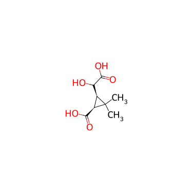 CC1(C)[C@H](C(O)C(=O)O)[C@@H]1C(=O)O